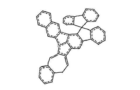 C1=c2c(n3c4cc5ccccc5cc4c4c5c(cc2c43)-c2ccccc2C52c3ccccc3-c3ccccc32)=Cc2ccccc2C1